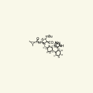 CCCCC1SC(=NC(=O)C2CC2)N(Cc2ccc(-c3ccccc3-c3nnn[nH]3)cc2)C1C(=O)O